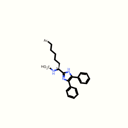 CC(=O)CCCCC[C@H](NC(=O)O)c1nc(-c2ccccc2)c(-c2ccccc2)[nH]1